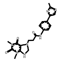 Cc1nc(-c2ccc(NC(=O)CCN3CNc4c3c(=O)n(C)c(=O)n4C)cc2)cs1